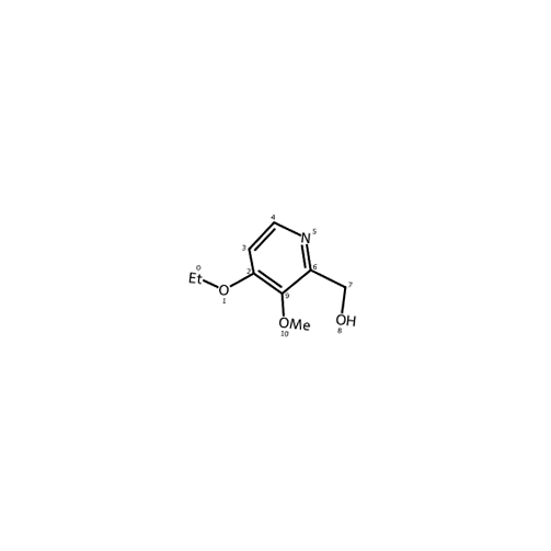 CCOc1ccnc(CO)c1OC